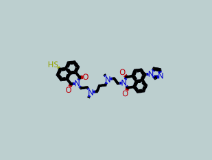 CN(CCCN(C)CCN1C(=O)c2cccc3c(-n4ccnc4)ccc(c23)C1=O)CCN1C(=O)c2cccc3c(S)ccc(c23)C1=O